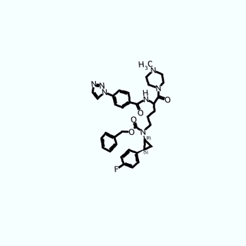 CN1CCN(C(=O)C(CCCN(C(=O)OCc2ccccc2)[C@@H]2C[C@H]2c2ccc(F)cc2)NC(=O)c2ccc(-n3ccnn3)cc2)CC1